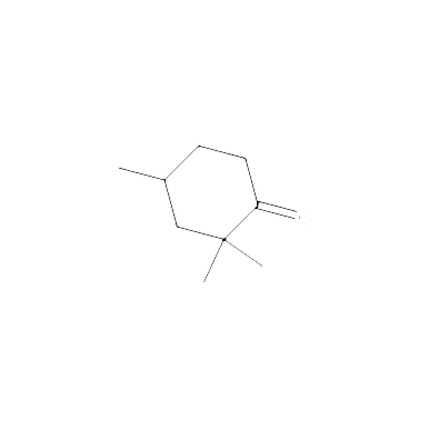 CC1CCC(=O)C(C)(C)C1